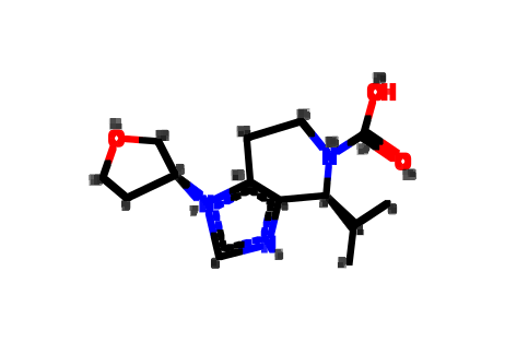 CC(C)[C@H]1c2ncn([C@H]3CCOC3)c2CCN1C(=O)O